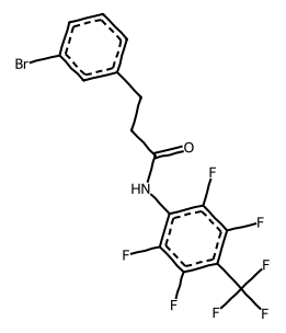 O=C(CCc1cccc(Br)c1)Nc1c(F)c(F)c(C(F)(F)F)c(F)c1F